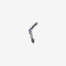 CC=NCCCCCCCC/C=C\CCCCCCCC